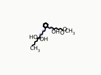 CCCCC[C@H](O)[C@H](O)/C=C/C=C/c1ccccc1/C=C/[C@@H](O)CCCC(=O)OC